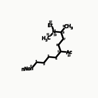 CCCCCCCCCCCCCC(CCC(C)N(C)CC)C(C)=O